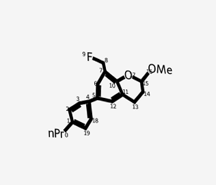 CCCc1ccc(-c2cc(CF)c3c(c2)CCC(OC)O3)cc1